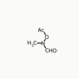 CC(=O)ON(C)[C]=O